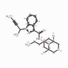 CC#CC(C)n1nc(C(=O)N[C@H]2C[C@H]3COC[C@@H](C2)N3CCCC)c2ccccc21